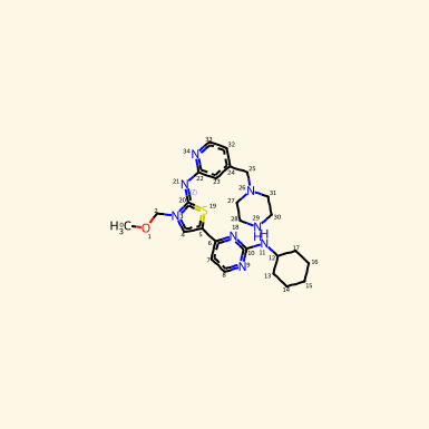 COCn1cc(-c2ccnc(NC3CCCCC3)n2)s/c1=N\c1cc(CN2CCNCC2)ccn1